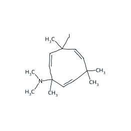 CN(C)C1(C)/C=C\C(C)(C)/C=C\C(C)(I)/C=C\1